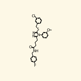 COc1cccc(-n2c(CCCC(=O)NCc3ccc(F)cc3)nnc2SCc2cccc(Cl)c2)c1